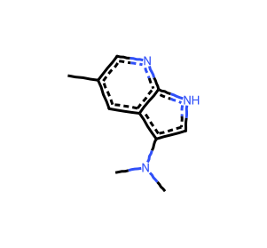 Cc1cnc2[nH]cc(N(C)C)c2c1